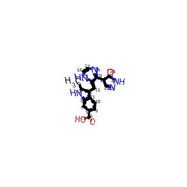 Cc1[nH]c2cc(C(=O)O)ccc2c1C=C1NC=CN=C1C1C=NNC1=O